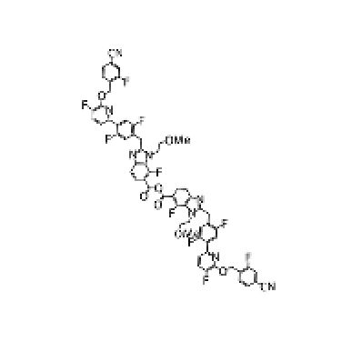 COCCn1c(Cc2cc(F)c(-c3ccc(F)c(OCc4ccc(C#N)cc4F)n3)cc2F)nc2ccc(C(=O)OC(=O)c3ccc4nc(Cc5cc(F)c(-c6ccc(F)c(OCc7ccc(C#N)cc7F)n6)cc5F)n(CCOC)c4c3F)c(F)c21